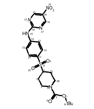 CC(C)(C)OC(=O)N1CCC(S(=O)(=O)c2ccc(Nc3ncc([N+](=O)[O-])cn3)cc2)CC1